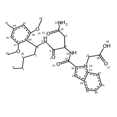 CCCCC(NC(=O)C(CC(N)=O)NC(=O)c1cc2ccccc2n1CC(=O)O)c1c(OC)cc(C)cc1OC